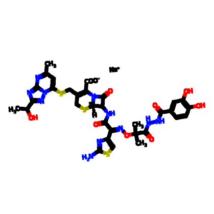 Cc1cc(SCC2=C(C(=O)[O-])N3C(=O)C(NC(=O)C(=NOC(C)(C)C(=O)NNC(=O)c4ccc(O)c(O)c4)c4csc(N)n4)[C@@H]3SC2)n2nc(C(C)O)nc2n1.[Na+]